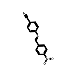 N#Cc1ccc(N=Cc2ccc([N+](=O)[O-])cc2)cc1